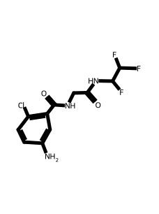 Nc1ccc(Cl)c(C(=O)NCC(=O)NC(F)C(F)F)c1